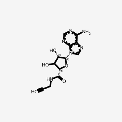 C#CCNC(=O)[C@H]1O[C@@H](n2cnc3c(N)ncnc32)[C@@H](O)C1O